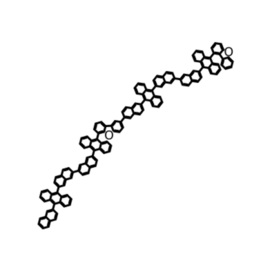 c1ccc2cc(-c3c4ccccc4c(-c4ccc5ccc(-c6ccc7ccc(-c8c9ccccc9c(-c9cccc%10c9oc9ccc(-c%11ccc%12cc(-c%13c%14ccccc%14c(-c%14ccc%15ccc(-c%16ccc%17ccc(-c%18c%19ccccc%19c(-c%19cccc%20oc%21ccccc%21c%19%20)c%19ccccc%18%19)cc%17c%16)cc%15c%14)c%14ccccc%13%14)ccc%12c%11)cc9%10)c9ccccc89)cc7c6)cc5c4)c4ccccc34)ccc2c1